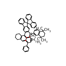 CC(C)c1ccc2c(c1-c1cc3c(cc1N(c1ccc(-c4ccccc4)cc1)c1ccc4c(c1)C(C)(C)CCC4(C)C)C1(c4ccccc4-c4ccccc41)c1ccccc1-3)CCCC2